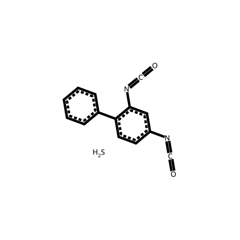 O=C=Nc1ccc(-c2ccccc2)c(N=C=O)c1.S